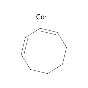 C1=CCCCCC=C1.[Co]